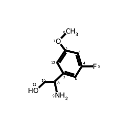 COc1cc(F)cc(C(N)CO)c1